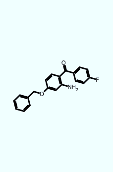 Nc1cc(OCc2ccccc2)ccc1C(=O)c1ccc(F)cc1